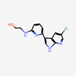 OCCNc1cccc(-c2c[nH]c3ncc(Cl)cc23)n1